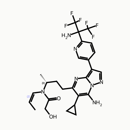 C/C=C\N(C(=O)CO)[C@H](C)CCc1nc2c(-c3ccc(C(N)(C(F)(F)F)C(F)(F)F)nc3)cnn2c(N)c1C1CC1